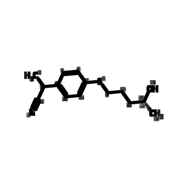 CC(C#N)c1ccc(SCCC[C@@H](C)O)cc1